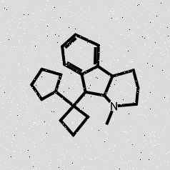 CN1CCCC2c3ccccc3C(C3(C4CCCC4)CCC3)C21